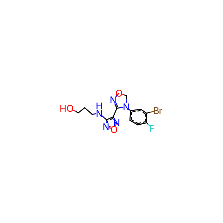 OCCCNc1nonc1C1=NOCN1c1ccc(F)c(Br)c1